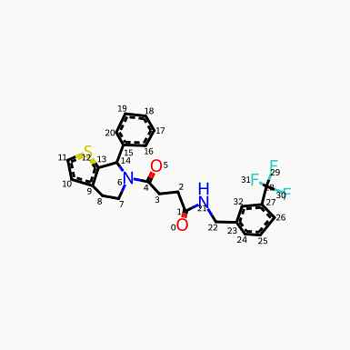 O=C(CCC(=O)N1CCc2ccsc2C1c1ccccc1)NCc1cccc(C(F)(F)F)c1